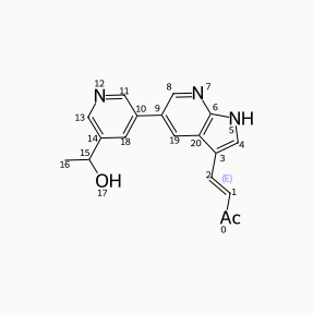 CC(=O)/C=C/c1c[nH]c2ncc(-c3cncc(C(C)O)c3)cc12